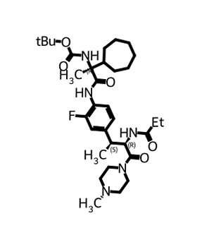 CCC(=O)N[C@@H](C(=O)N1CCN(C)CC1)[C@@H](C)c1ccc(NC(=O)[C@](C)(NC(=O)OC(C)(C)C)C2CCCCCC2)c(F)c1